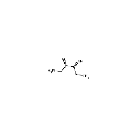 C=C(CN)C(=N)CC(F)(F)F